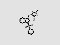 O=S(=O)(c1ccccc1)n1cc(Cc2sc(I)nc2Cl)c2cccnc21